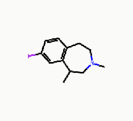 CC1CN(C)CCc2ccc(I)cc21